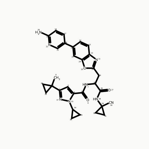 CC1(c2cc(C(=O)NC(Cc3nc4ccc(-c5ccc(N)nc5)cc4o3)C(=O)NC3(C#N)CC3)n(C3CC3)n2)CC1